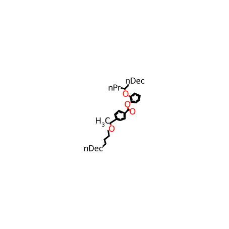 CCCCCCCCCCCCCCOC(C)c1ccc(C(=O)Oc2ccccc2OC(CCC)CCCCCCCCCCC)cc1